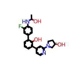 CC(O)Nc1ccc(-c2cccc(-c3ccnc(N4CC[C@@H](O)C4)c3)c2O)cc1F